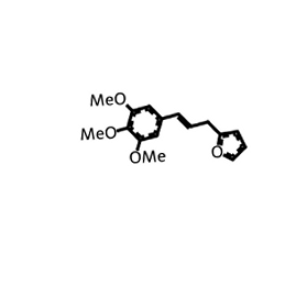 COc1cc(/C=C/Cc2ccco2)cc(OC)c1OC